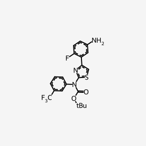 CC(C)(C)OC(=O)N(c1cccc(C(F)(F)F)c1)c1nc(-c2cc(N)ccc2F)cs1